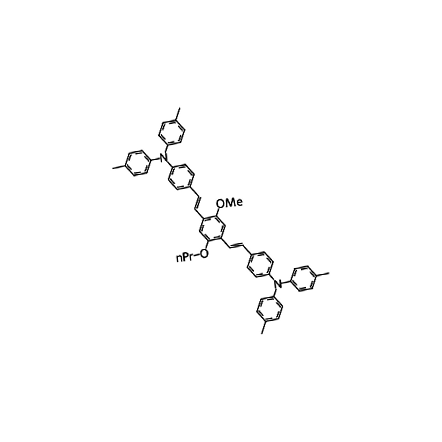 CCCOc1cc(C=Cc2ccc(N(c3ccc(C)cc3)c3ccc(C)cc3)cc2)c(OC)cc1C=Cc1ccc(N(c2ccc(C)cc2)c2ccc(C)cc2)cc1